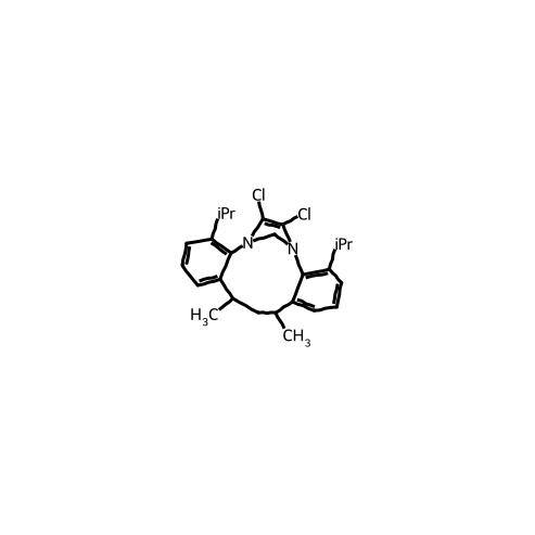 CC(C)c1cccc2c1N1CN(C(Cl)=C1Cl)c1c(C(C)C)cccc1C(C)CC2C